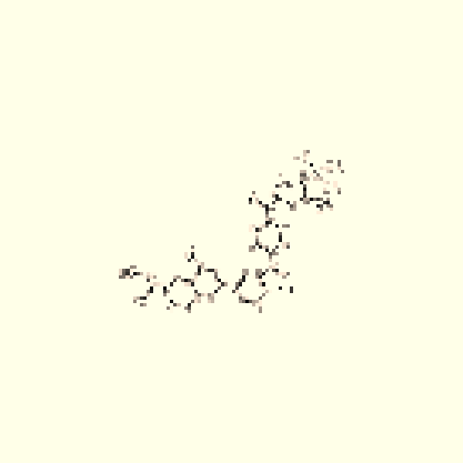 Cc1cc(-c2cnc3[nH]cc(-c4ccc(C(=O)N(C)C[C@H](C)O[Si](C)(C)C(C)(C)C)cc4)c3c2)cc2c1CN(C(=O)OC(C)(C)C)CC2